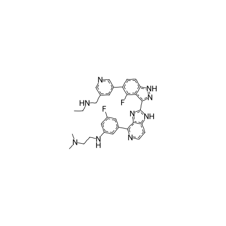 CCNCc1cncc(-c2ccc3[nH]nc(-c4nc5c(-c6cc(F)cc(NCCN(C)C)c6)nccc5[nH]4)c3c2F)c1